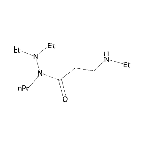 CCCN(C(=O)CCNCC)N(CC)CC